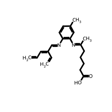 C=C/C=C(C=C)/C=N/c1ccc(C)cc1/N=C(\C)CCCCC(=O)O